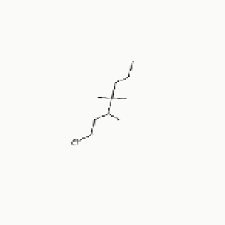 CCCC(C)(C)C(C)C[CH]Cl